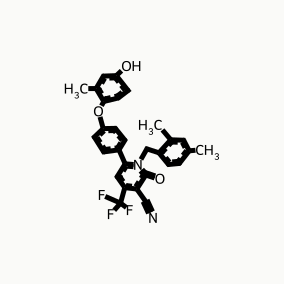 Cc1ccc(Cn2c(-c3ccc(Oc4ccc(O)cc4C)cc3)cc(C(F)(F)F)c(C#N)c2=O)c(C)c1